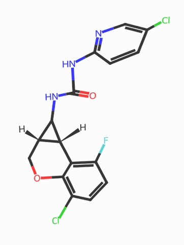 O=C(Nc1ccc(Cl)cn1)NC1[C@H]2COc3c(Cl)ccc(F)c3[C@@H]12